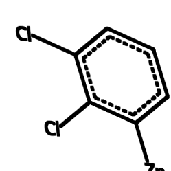 Clc1ccc[c]([Zn])c1Cl